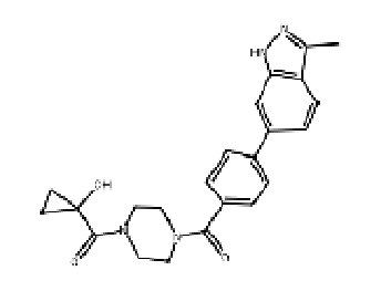 Cc1n[nH]c2cc(-c3ccc(C(=O)N4CCN(C(=O)C5(O)CC5)CC4)cc3)ccc12